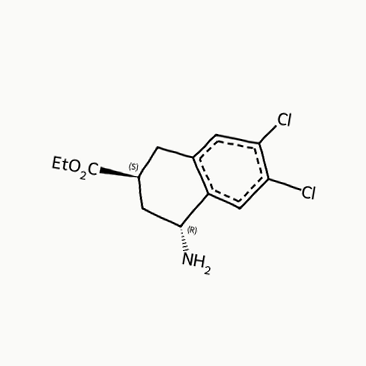 CCOC(=O)[C@H]1Cc2cc(Cl)c(Cl)cc2[C@H](N)C1